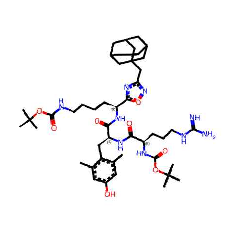 Cc1cc(O)cc(C)c1C[C@H](NC(=O)[C@@H](CCCNC(=N)N)NC(=O)OC(C)(C)C)C(=O)N[C@@H](CCCCNC(=O)OC(C)(C)C)c1nc(CC23CC4CC(CC(C4)C2)C3)no1